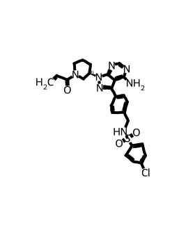 C=CC(=O)N1CCC[C@@H](n2nc(-c3ccc(CNS(=O)(=O)c4ccc(Cl)cc4)cc3)c3c(N)ncnc32)C1